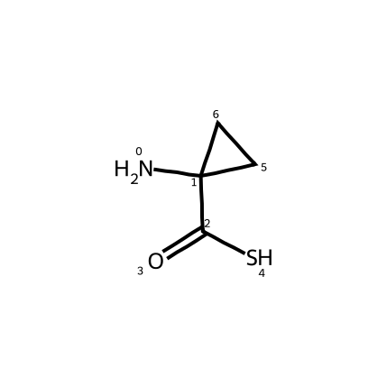 NC1(C(=O)S)CC1